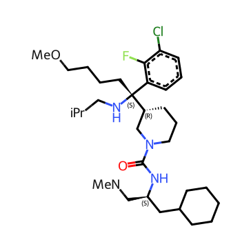 CNC[C@H](CC1CCCCC1)NC(=O)N1CCC[C@@H]([C@](CCCCOC)(NCC(C)C)c2cccc(Cl)c2F)C1